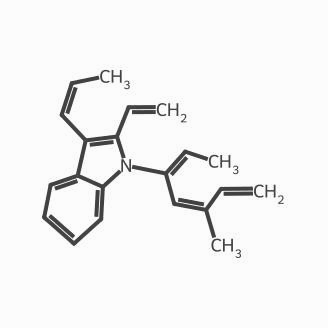 C=C/C(C)=C\C(=C/C)n1c(C=C)c(/C=C\C)c2ccccc21